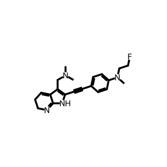 CN(C)Cc1c(C#Cc2ccc(N(C)CCF)cc2)[nH]c2c1=CCCN=2